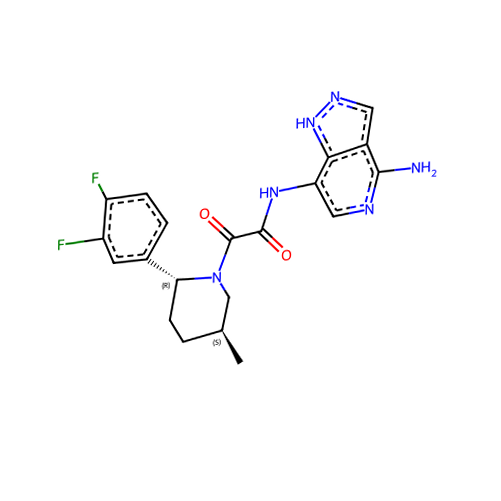 C[C@H]1CC[C@H](c2ccc(F)c(F)c2)N(C(=O)C(=O)Nc2cnc(N)c3cn[nH]c23)C1